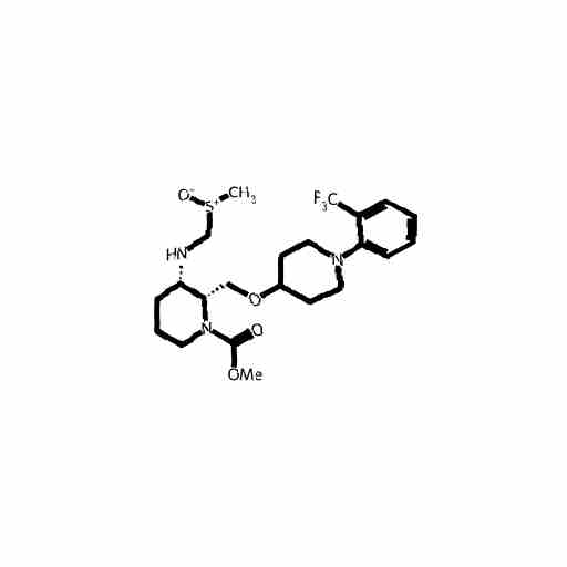 COC(=O)N1CCC[C@H](NC[S+](C)[O-])[C@@H]1COC1CCN(c2ccccc2C(F)(F)F)CC1